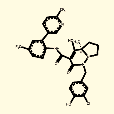 C[C@]12CCCN1N(Cc1ccc(O)c(Cl)c1)C(=O)C(C(=O)Nc1ccc(C(F)(F)F)cc1-c1ccc(C(F)(F)F)nc1)=C2O